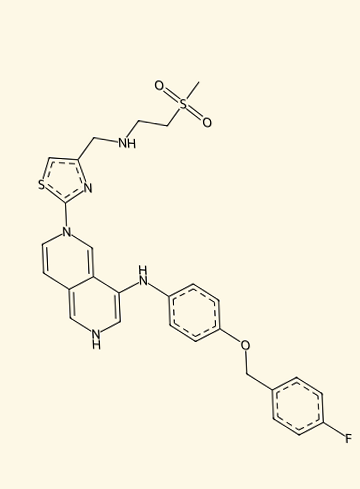 CS(=O)(=O)CCNCc1csc(N2C=CC3=CNC=C(Nc4ccc(OCc5ccc(F)cc5)cc4)C3=C2)n1